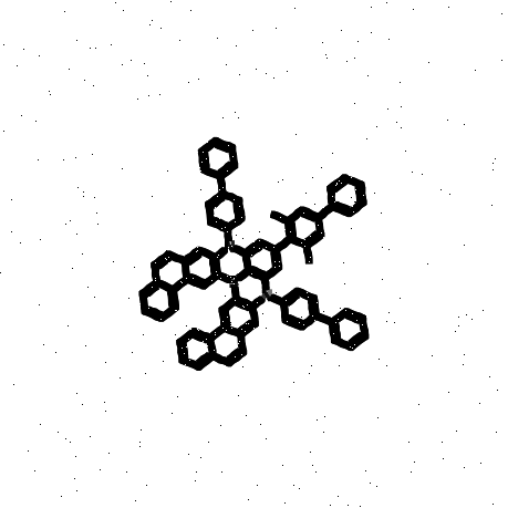 Cc1cc(-c2ccccc2)cc(C)c1-c1cc2c3c(c1)N(c1ccc(-c4ccccc4)cc1)c1cc4ccc5ccccc5c4cc1B3c1cc3c(ccc4ccccc43)cc1N2c1ccc(-c2ccccc2)cc1